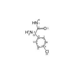 CNC(=O)[C@@H](N)c1ccc(Cl)cc1